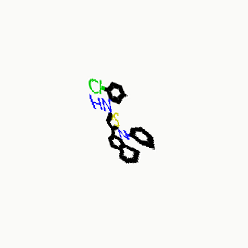 Clc1ccccc1Nc1cc2c3ccc4ccccc4c3n(-c3ccccc3)c2s1